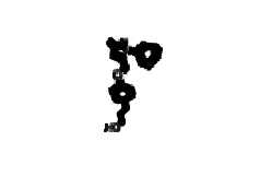 Cc1cc(COc2ccc(CCCO)cc2)n(-c2ccccc2)n1